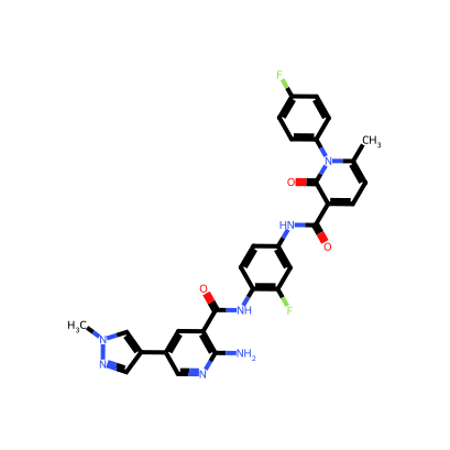 Cc1ccc(C(=O)Nc2ccc(NC(=O)c3cc(-c4cnn(C)c4)cnc3N)c(F)c2)c(=O)n1-c1ccc(F)cc1